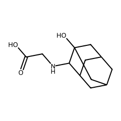 O=C(O)CNC1C2CC3CC(C2)CC1(O)C3